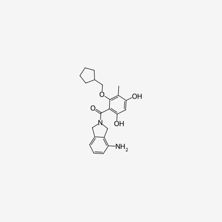 Cc1c(O)cc(O)c(C(=O)N2Cc3cccc(N)c3C2)c1OCC1CCCC1